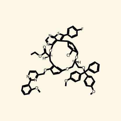 CCOC(=O)[C@H]1Cc2cc(ccc2OCc2ccnc(-c3ccccc3OC)n2)OC[C@@H](COC(c2ccccc2)(c2ccc(OC)cc2)c2ccc(OC)cc2)Oc2ccc(cc2Cl)-c2c(-c3ccc(F)cc3)sc3ncnc(c23)O1